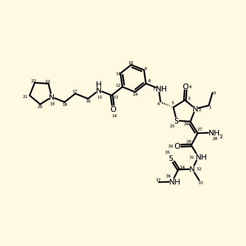 CCN1C(=O)[C@@H](CNc2cccc(C(=O)NCCCN3CCCC3)c2)S/C1=C(/N)C(=O)NN(C)C(=S)NC